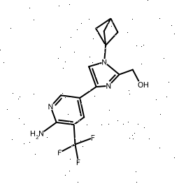 Nc1ncc(-c2cn(C34CC(C3)C4)c(CO)n2)cc1C(F)(F)F